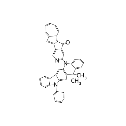 CC1(C)c2ccccc2N(c2cc3c(cn2)-c2cc4cccccc-4c2C3=O)c2cc3c4ccccc4n(-c4ccccc4)c3cc21